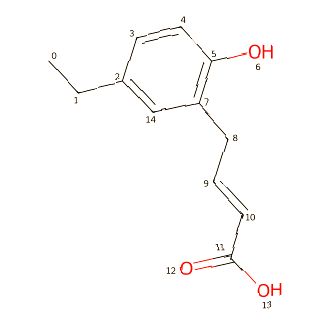 CCc1ccc(O)c(C/C=C/C(=O)O)c1